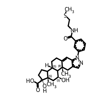 CSCCNC(=O)c1cccc(-n2ncc3c2C=C2CC[C@@H]4C([C@@H](O)C[C@@]5(C)C4CC[C@]5(O)C(=O)O)[C@@]2(C)C3)c1